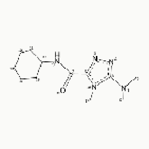 CN(C)c1nnc(C(=O)NC2CCCCC2)n1C